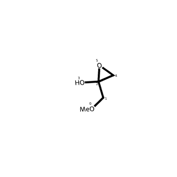 COCC1(O)CO1